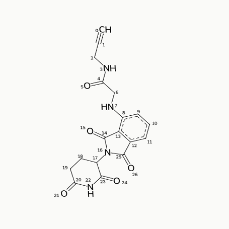 C#CCNC(=O)CNc1cccc2c1C(=O)N(C1CCC(=O)NC1=O)C2=O